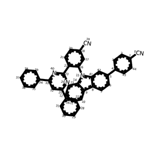 N#Cc1ccc(-c2ccc3c4ccccc4n(-c4cc(C#N)ccc4-c4nc(-c5ccccc5)cc(-c5ccccc5)n4)c3c2)cc1